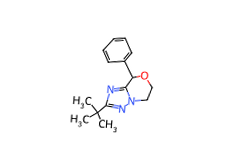 CC(C)(C)c1nc2n(n1)CCOC2c1ccccc1